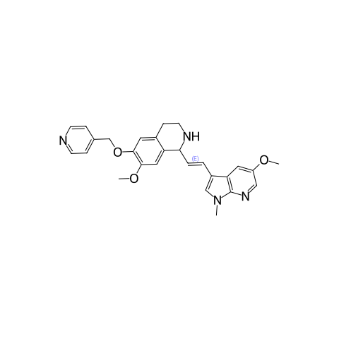 COc1cnc2c(c1)c(/C=C/C1NCCc3cc(OCc4ccncc4)c(OC)cc31)cn2C